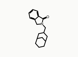 O=C1c2ccccc2CN1CC1CC2CCCC(C2)C1